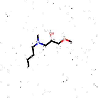 CCCCN(C)C[C@H](O)COC